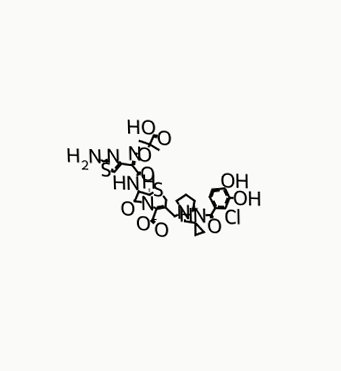 CC(C)(O/N=C(\C(=O)N[C@@H]1C(=O)N2C(C(=O)[O-])=C(C[N+]3(CC4(NC(=O)c5ccc(O)c(O)c5Cl)CC4)CCCC3)CS[C@H]12)c1csc(N)n1)C(=O)O